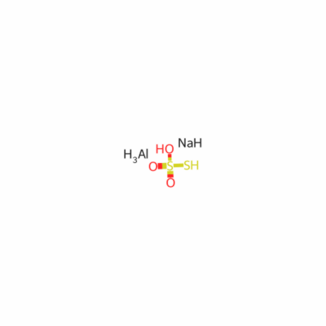 O=S(=O)(O)S.[AlH3].[NaH]